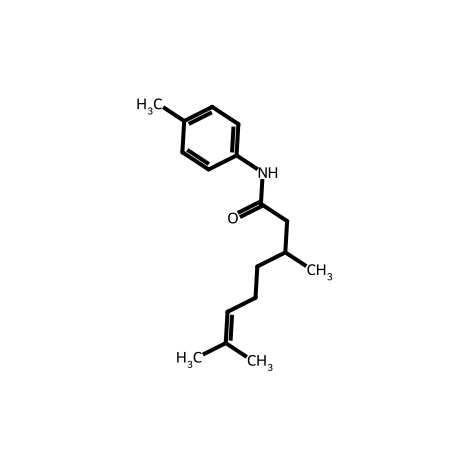 CC(C)=CCCC(C)CC(=O)Nc1ccc(C)cc1